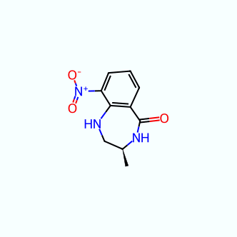 C[C@H]1CNc2c(cccc2[N+](=O)[O-])C(=O)N1